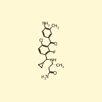 Cc1cc(C(=O)c2c(Cl)ccc(C(N[C@H](C)CC(N)=O)C3CC3)c2F)ccc1N